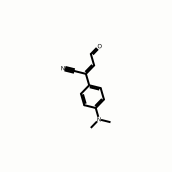 CN(C)c1ccc(C(C#N)=CC=O)cc1